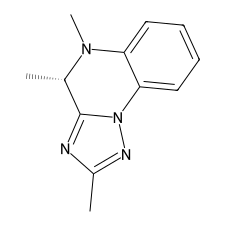 Cc1nc2n(n1)-c1ccccc1N(C)[C@H]2C